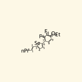 CCC/C=C/c1ccc(-c2ccc(OCC)c(F)c2F)[se]1